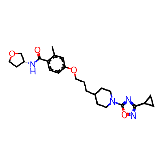 Cc1cc(OCCCC2CCN(c3nc(C4CC4)no3)CC2)ccc1C(=O)N[C@@H]1CCOC1